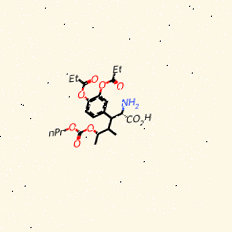 CCCOC(=O)OC(C)C(C)C(c1ccc(OC(=O)CC)c(OC(=O)CC)c1)[C@H](N)C(=O)O